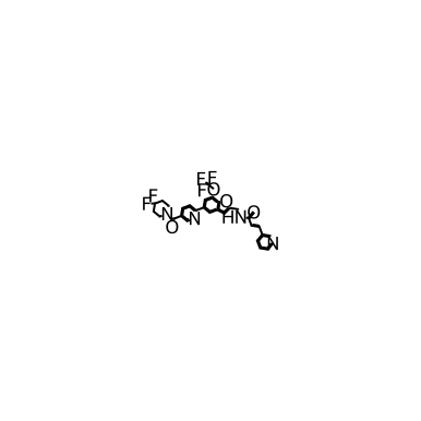 O=C(C=Cc1cccnc1)NCc1cc2cc(-c3ccc(C(=O)N4CCC(F)(F)CC4)cn3)cc(OC(F)(F)F)c2o1